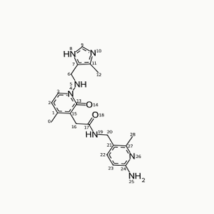 Cc1ccn(NCc2[nH]cnc2C)c(=O)c1CC(=O)NCc1ccc(N)nc1C